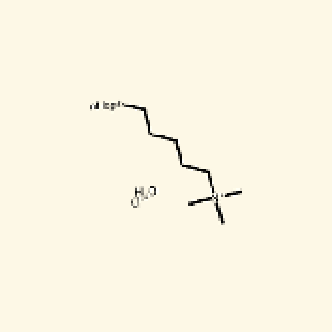 CCCCCCCCCCCC[N+](C)(C)C.O.[Cl-]